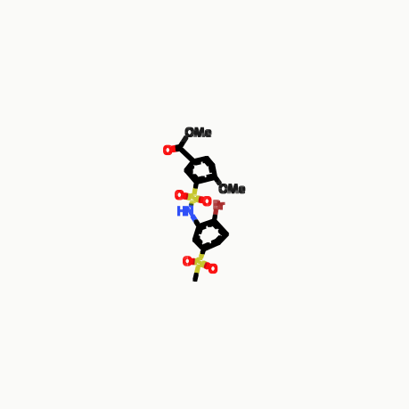 COC(=O)c1ccc(OC)c(S(=O)(=O)Nc2cc(S(C)(=O)=O)ccc2Br)c1